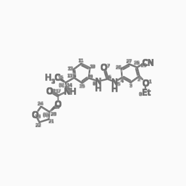 CCOc1cc(NC(=O)Nc2cccc([C@H](C)NC(=O)O[C@H]3CCOC3)c2)ccc1C#N